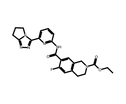 CCOC(=O)N1CCc2cc(F)c(C(=O)Nc3cccc(-c4nnc5n4CCC5)n3)cc2C1